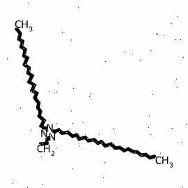 [CH2]CCc1nc(CCCCCCCCCCCCCCCCCCCCCCCC)nc(CCCCCCCCCCCCCCCCCCCCCCCC)n1